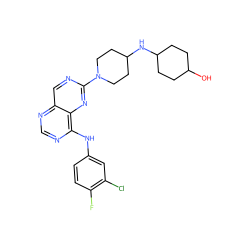 OC1CCC(NC2CCN(c3ncc4ncnc(Nc5ccc(F)c(Cl)c5)c4n3)CC2)CC1